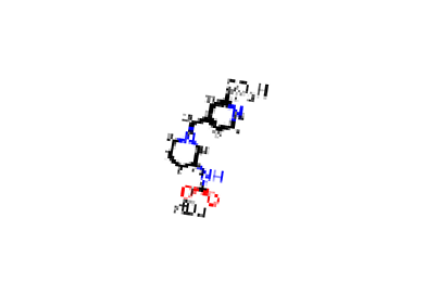 CC(C)(C)OC(=O)NC1CCCN(Cc2ccnc(C(=O)O)c2)C1